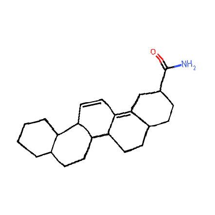 NC(=O)C1CCC2CCC3C(=C2C1)C=CC1C2CCCCC2CCC31